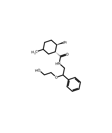 CC1CC[C@@H](C(C)C)[C@H](C(=O)NCC(OCCO)c2ccccc2)C1